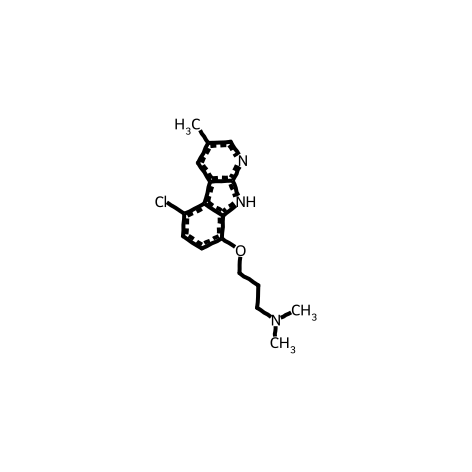 Cc1cnc2[nH]c3c(OCCCN(C)C)ccc(Cl)c3c2c1